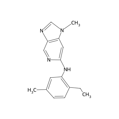 CCc1ccc(C)cc1Nc1cc2c(cn1)ncn2C